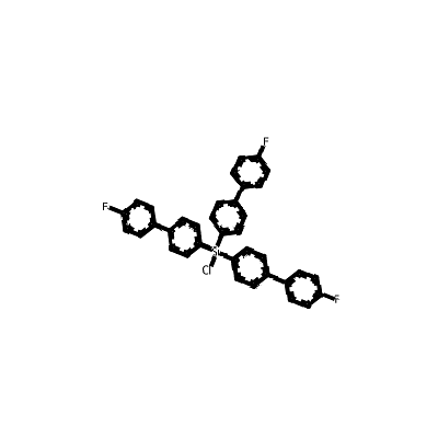 Fc1ccc(-c2ccc([Si](Cl)(c3ccc(-c4ccc(F)cc4)cc3)c3ccc(-c4ccc(F)cc4)cc3)cc2)cc1